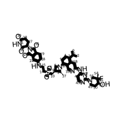 CC(C)c1ccc(N2C[C@H](CS(=O)(=O)CCNc3ccc4c(c3)C(=O)N(C3CCC(=O)NC3=O)C4=O)[C@H]2C)c2cnc(Nc3ccnc(N4CC[C@@H](O)[C@@](C)(F)C4)n3)cc12